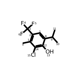 Cc1c(C(F)(F)F)cc(C(C)C)c(O)c1Cl